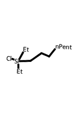 CCCCCCCC[Si](Cl)(CC)CC